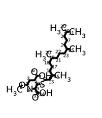 COC(CCC(=O)O)=NC(CSCC=C(C)CCCC(C)CCCC(C)CCCC(C)C)C(=O)O